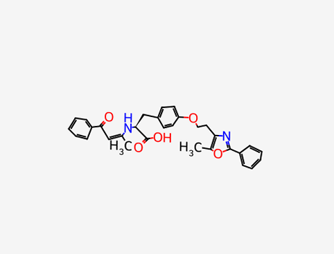 CC(=CC(=O)c1ccccc1)N[C@@H](Cc1ccc(OCCc2nc(-c3ccccc3)oc2C)cc1)C(=O)O